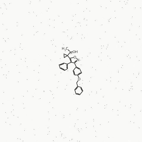 C[C@@H](O)C1(c2onc(-c3ccc(OCc4ccccc4)cc3)c2-c2ccccc2)CC1